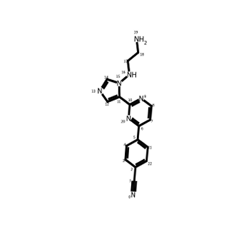 N#Cc1ccc(-c2ccnc(-c3cncn3NCCN)n2)cc1